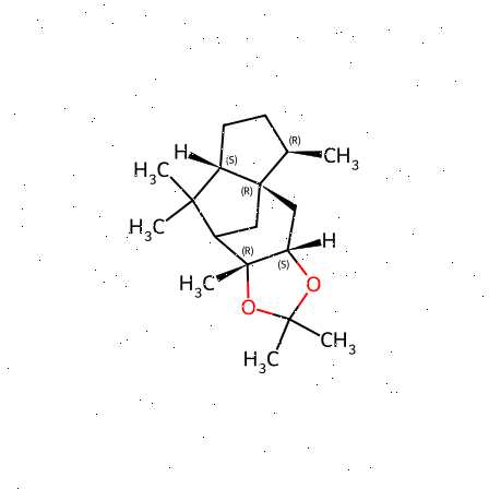 C[C@@H]1CC[C@H]2C(C)(C)C3C[C@@]12C[C@@H]1OC(C)(C)O[C@]31C